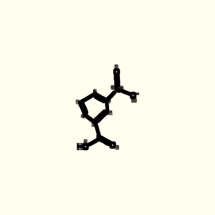 O=C(O)c1c[c]cc([N+](=O)[O-])c1